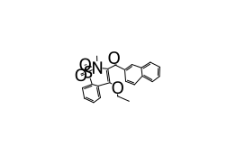 CCOC1=C(C(=O)c2ccc3ccccc3c2)N(C)S(=O)(=O)c2ccccc21